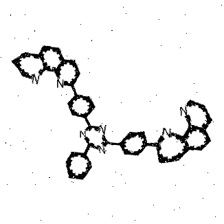 c1ccc(-c2nc(-c3ccc(-c4ccc5ccc6cccnc6c5n4)cc3)nc(-c3ccc(-c4ccc5ccc6cccnc6c5n4)cc3)n2)cc1